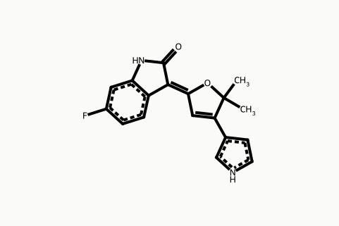 CC1(C)OC(=C2C(=O)Nc3cc(F)ccc32)C=C1c1cc[nH]c1